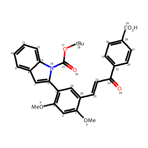 COc1cc(OC)c(-c2cc3ccccc3n2C(=O)OC(C)(C)C)cc1C=CC(=O)c1ccc(C(=O)O)cc1